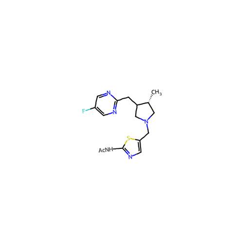 CC(=O)Nc1ncc(CN2CC(Cc3ncc(F)cn3)[C@H](C)C2)s1